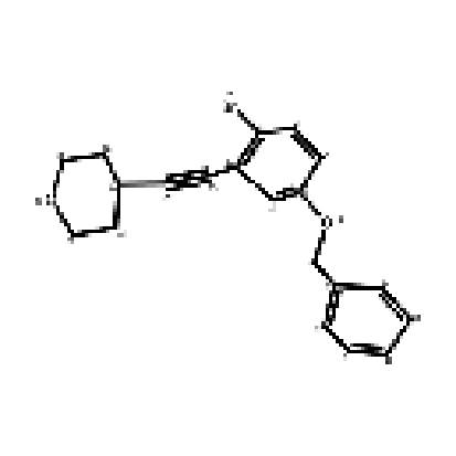 Brc1ccc(OCc2ccccc2)cc1C#CC1CCOCC1